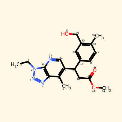 CCn1nnc2c(C)c(C(CC(=O)OC)c3ccc(C)c(CO)c3)cnc21